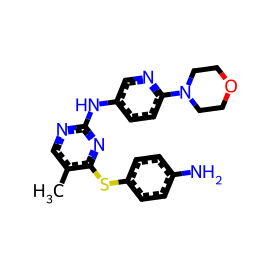 Cc1cnc(Nc2ccc(N3CCOCC3)nc2)nc1Sc1ccc(N)cc1